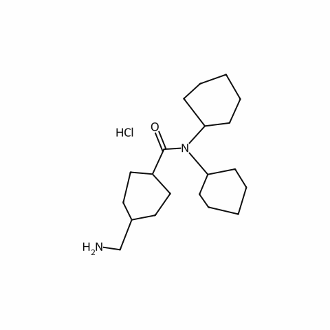 Cl.NCC1CCC(C(=O)N(C2CCCCC2)C2CCCCC2)CC1